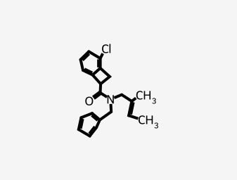 CC=C(C)CN(Cc1ccccc1)C(=O)C1Cc2c(Cl)cccc21